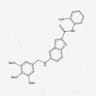 COc1cc(CNc2ccc3oc(C(=O)Nc4ccccc4N)cc3c2)cc(OC)c1OC